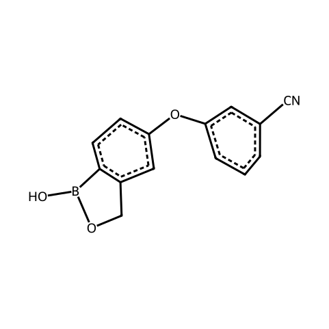 N#Cc1cccc(Oc2ccc3c(c2)COB3O)c1